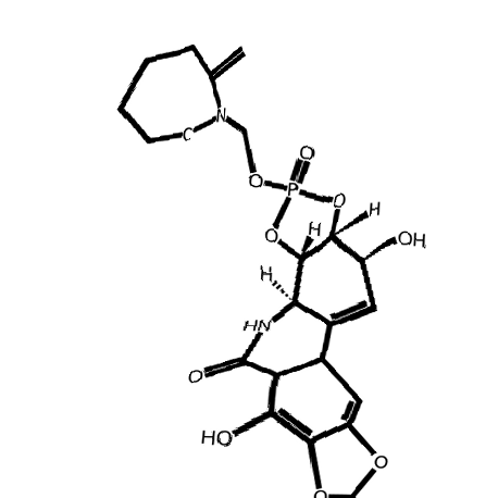 C=C1CCCCCN1COP1(=O)O[C@@H]2[C@H](O1)[C@@H](O)C=C1C3C=C4OCOC4=C(O)C3C(=O)N[C@H]12